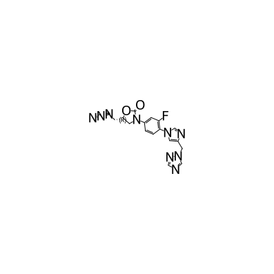 [N-]=[N+]=NC[C@H]1CN(c2ccc(-n3cnc(Cn4cncn4)c3)c(F)c2)C(=O)O1